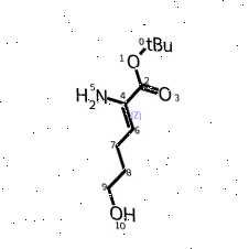 CC(C)(C)OC(=O)/C(N)=C/CCCO